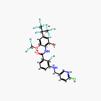 O=C(Nc1c(Br)cc(C(F)(C(F)(F)F)C(F)(F)F)cc1OC(F)F)c1cccc(NCc2ccc(Cl)nc2)c1F